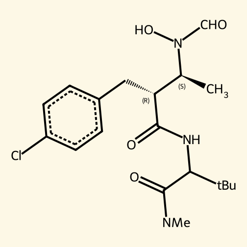 CNC(=O)C(NC(=O)[C@H](Cc1ccc(Cl)cc1)[C@H](C)N(O)C=O)C(C)(C)C